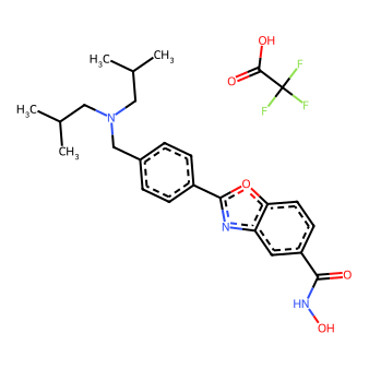 CC(C)CN(Cc1ccc(-c2nc3cc(C(=O)NO)ccc3o2)cc1)CC(C)C.O=C(O)C(F)(F)F